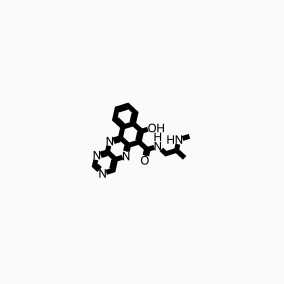 CNC(C)CNC(=O)c1c(O)c2ccccc2c2nc3ncncc3nc12